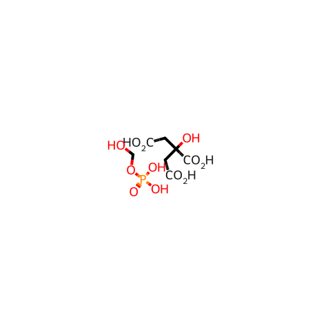 O=C(O)CC(O)(CC(=O)O)C(=O)O.O=P(O)(O)OCO